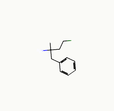 CC(N)(CCF)Cc1ccccc1